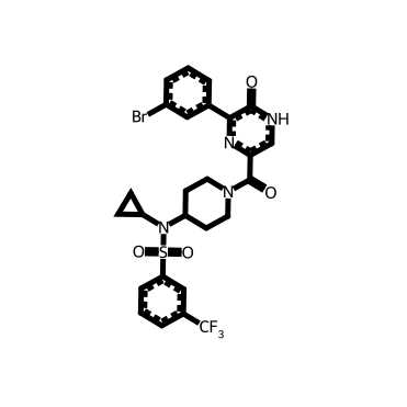 O=C(c1c[nH]c(=O)c(-c2cccc(Br)c2)n1)N1CCC(N(C2CC2)S(=O)(=O)c2cccc(C(F)(F)F)c2)CC1